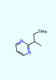 [CH2]SCC(C)c1ncccn1